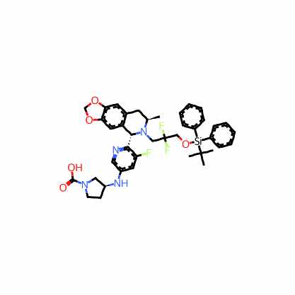 C[C@@H]1Cc2cc3c(cc2[C@@H](c2ncc(N[C@H]4CCN(C(=O)O)C4)cc2F)N1CC(F)(F)CO[Si](c1ccccc1)(c1ccccc1)C(C)(C)C)OCO3